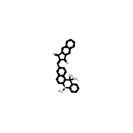 CN1c2ccccc2C(C)(C)c2c1ccc1cc(C=C3C(=O)c4cc5ccccc5cc4C3=O)ccc21